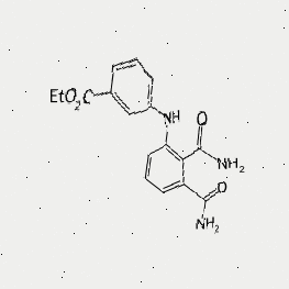 CCOC(=O)c1cccc(Nc2cccc(C(N)=O)c2C(N)=O)c1